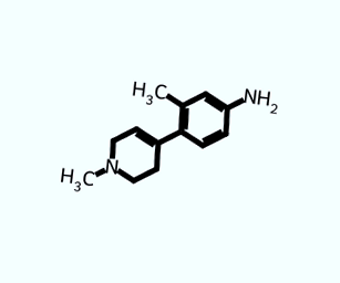 Cc1cc(N)ccc1C1=CCN(C)CC1